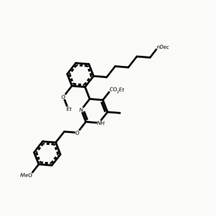 CCCCCCCCCCCCCCCc1cccc(OCC)c1C1N=C(OCc2ccc(OC)cc2)NC(C)=C1C(=O)OCC